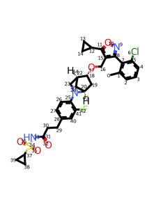 Cc1cccc(Cl)c1-c1noc(C2CC2)c1CO[C@@H]1C[C@@H]2C[C@H]1CN2c1ccc(CCC(=O)NS(=O)(=O)C2CC2)cc1F